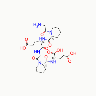 NCC(=O)N1CCCC[C@H]1C(=O)N[C@@H](CCC(=O)O)C(=O)NCC(=O)N1CCCC[C@H]1C(=O)N[C@@H](CCC(=O)O)C(=O)O